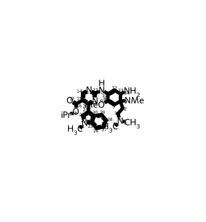 CNC1(CCN(C)C)C=C(OC)C(Nc2ncc(C(=O)OC(C)C)c(-c3cn(C)c4ccccc34)n2)=CC1N